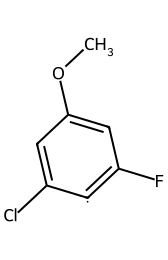 COc1cc(F)[c]c(Cl)c1